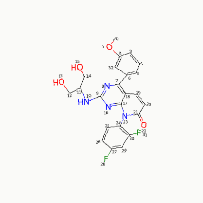 COc1cccc(-c2nc(NC(CO)CO)nc3c2ccc(=O)n3-c2ccc(F)cc2F)c1